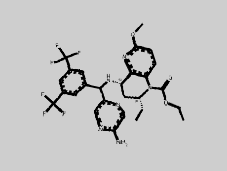 CCOC(=O)N1c2ccc(OC)nc2[C@@H](NC(c2cc(C(F)(F)F)cc(C(F)(F)F)c2)c2cnc(N)cn2)C[C@H]1CC